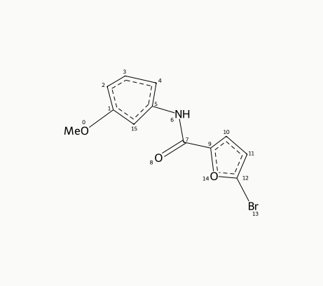 COc1cccc(NC(=O)c2ccc(Br)o2)c1